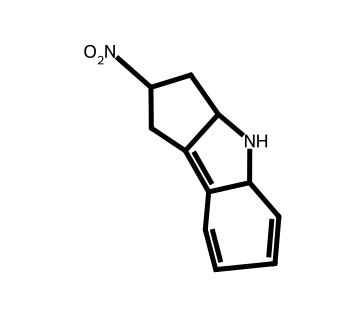 O=[N+]([O-])C1CC2=C3C=CC=CC3NC2C1